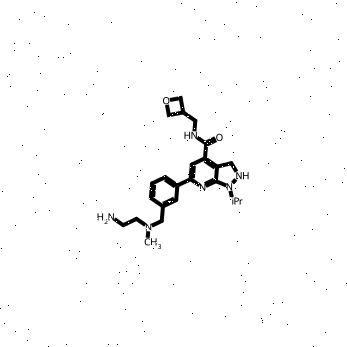 CC(C)N1NCc2c(C(=O)NCC3COC3)cc(-c3cccc(CN(C)CCN)c3)nc21